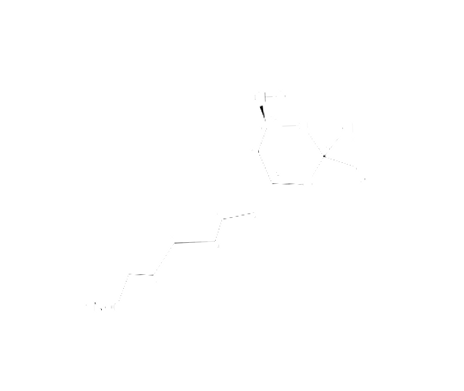 CCCCCCCCCCCCCCC[C@@H]1C[C@@H](C=O)OC(C)(C)O1